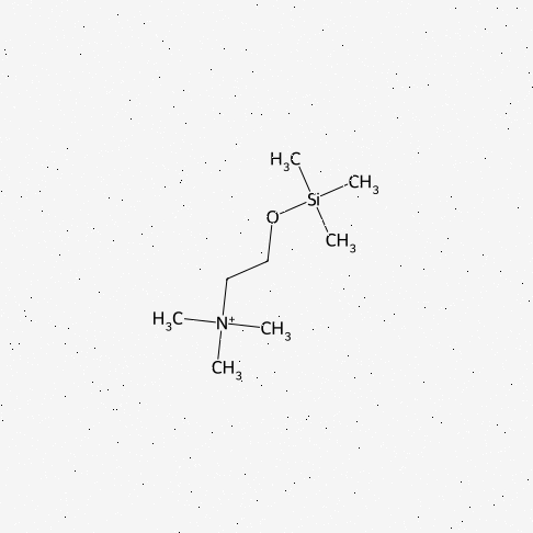 C[N+](C)(C)CCO[Si](C)(C)C